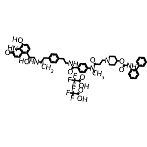 C[C@@H](Cc1ccc(CCNC(=O)c2ccc(N(C)C(=O)CCN3CCC(OC(=O)Nc4ccccc4-c4ccccc4)CC3)cc2)cc1)NC[C@H](O)c1ccc(O)c2[nH]c(=O)ccc12.O=C(O)C(F)(F)F.O=C(O)C(F)(F)F